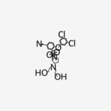 N#Cc1ccc(Oc2cc(Cl)cc(Cl)c2)c(S(=O)(=O)N2CC[C@H](N(CCO)CCO)C2)c1